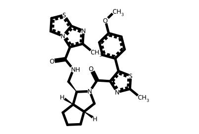 COc1ccc(-c2sc(C)nc2C(=O)N2C[C@@H]3CCC[C@@H]3[C@H]2CNC(=O)c2c(C)nc3sccn23)cc1